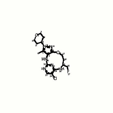 Cc1c2c(nn1C1CCOCC1)OCCC(CF)Nc1nc(ncc1Cl)N2